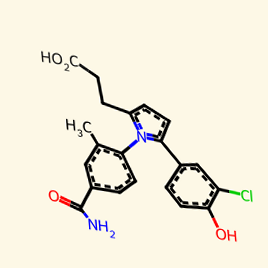 Cc1cc(C(N)=O)ccc1-n1c(CCC(=O)O)ccc1-c1ccc(O)c(Cl)c1